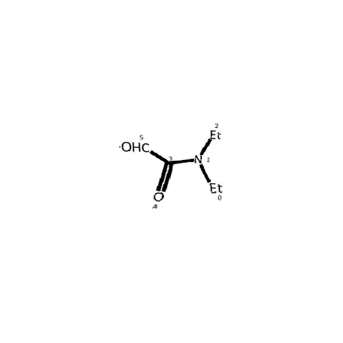 CCN(CC)C(=O)[C]=O